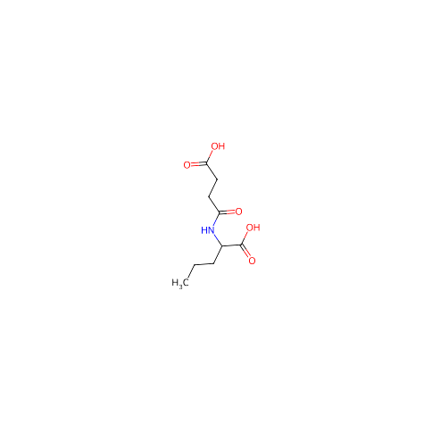 CCCC(NC(=O)CCC(=O)O)C(=O)O